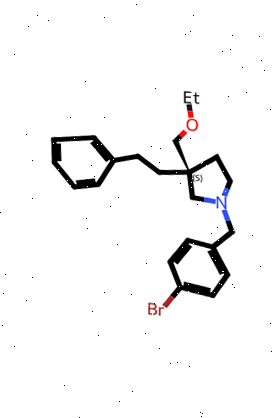 CCOC[C@@]1(CCc2ccccc2)CCN(Cc2ccc(Br)cc2)C1